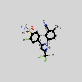 Cc1ccc(-n2nc(C(F)(F)F)cc2-c2ccc(S(N)(=O)=O)c(F)c2)cc1C#N